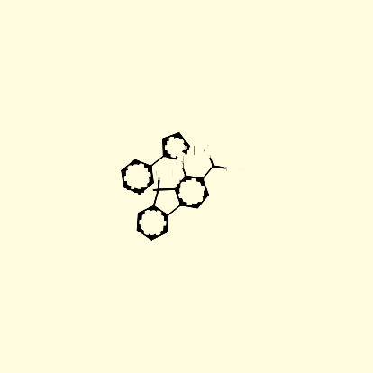 CC(C)c1ccc2c(c1-n1cccc1-c1ccccc1)C(C)(C)c1ccccc1-2